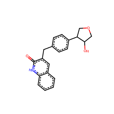 O=c1[nH]c2ccccc2cc1Cc1ccc(C2COCC2O)cc1